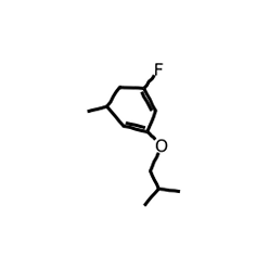 CC(C)COC1=CC(C)CC(F)=C1